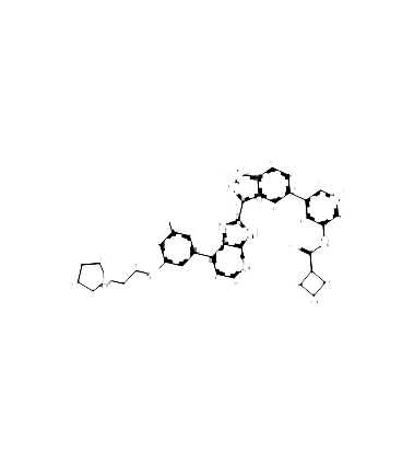 O=C(Nc1cncc(-c2ccc3[nH]nc(-c4nc5c(-c6cc(F)cc(OCCN7CCCC7)c6)ccnc5[nH]4)c3c2)c1)C1CCC1